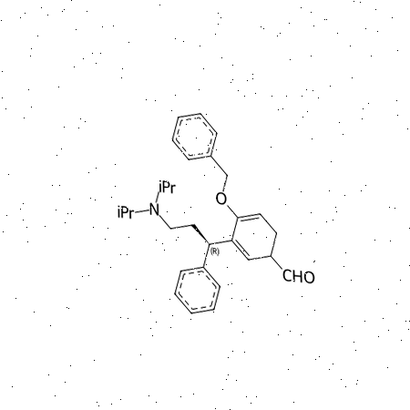 CC(C)N(CC[C@@H](C1=CC(C=O)CC=C1OCc1ccccc1)c1ccccc1)C(C)C